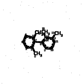 Cc1cccc(C)c1-c1cccc(C)[n+]1C